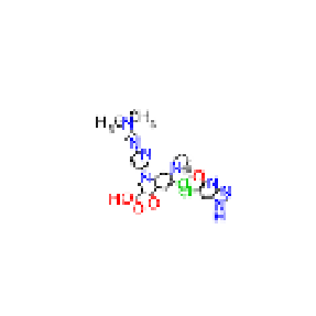 CN(C)C1CN(c2ccc(-n3cc(C(=O)O)c(=O)c4cc(Cl)c(N5CCC[C@@H]5COc5nc6nc[nH]c6cc5Cl)cc43)cn2)C1